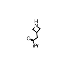 CC(C)C(=O)CC1CNC1